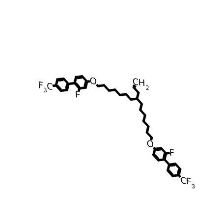 C=CCC(CCCCCCCOc1ccc(-c2ccc(C(F)(F)F)cc2)c(F)c1)CCCCCCCOc1ccc(-c2ccc(C(F)(F)F)cc2)c(F)c1